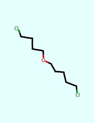 ClCCCCCOCCCCCl